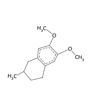 COc1cc2c(cc1OC)CC(C)CC2